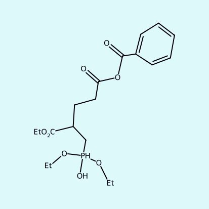 CCOC(=O)C(CCC(=O)OC(=O)c1ccccc1)C[PH](O)(OCC)OCC